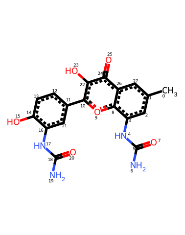 Cc1cc(NC(N)=O)c2oc(-c3ccc(O)c(NC(N)=O)c3)c(O)c(=O)c2c1